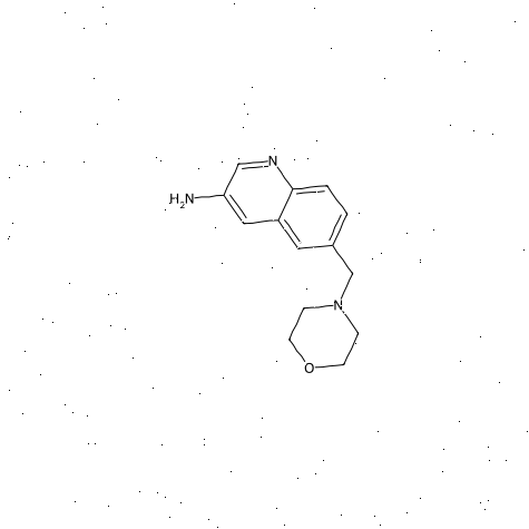 Nc1cnc2ccc(CN3CCOCC3)cc2c1